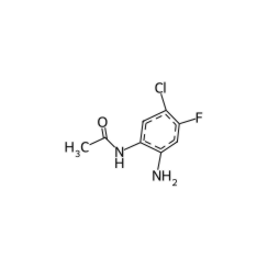 CC(=O)Nc1cc(Cl)c(F)cc1N